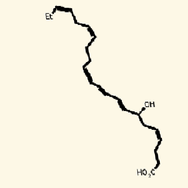 CC/C=C\C/C=C\CC\C=C/C=C/C=C/[C@@H](O)C/C=C\CCC(=O)O